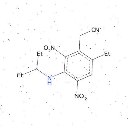 CCc1cc([N+](=O)[O-])c(NC(CC)CC)c([N+](=O)[O-])c1CC#N